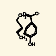 CC=CCC.[O]C(=O)c1ccc(O)cc1